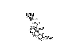 COc1ccc2nc3cccc4c3c(c2c1)C(=O)N4CCCc1nc[nH]n1